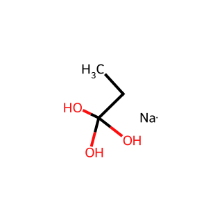 CCC(O)(O)O.[Na]